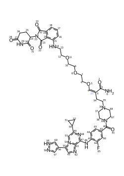 NC(=O)/C(=C\OCCOCCOCCNc1cccc2c1C(=O)N(C1CCC(=O)NC1=O)C2=O)CCN1CCN(C(=O)c2ccc(Nc3nc(C4CC4)cn4c(-c5cn[nH]c5)cnc34)c(F)c2)CC1